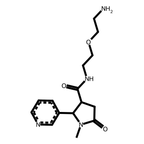 CN1C(=O)CC(C(=O)NCCOCCN)C1c1cccnc1